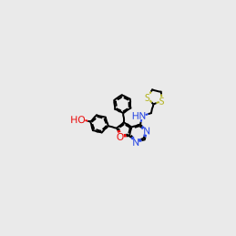 Oc1ccc(-c2oc3ncnc(NCC4SCCS4)c3c2-c2ccccc2)cc1